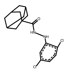 O=C(NNc1cc(Cl)ccc1Cl)C12CC3CC(CC(C3)C1)C2